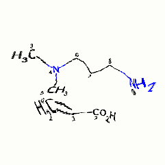 C=CC(=O)O.CN(C)CCCN